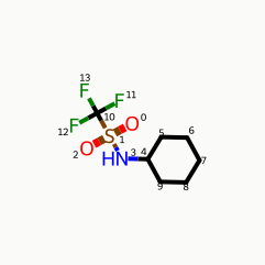 O=S(=O)(NC1CCCCC1)C(F)(F)F